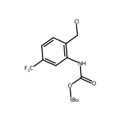 CC(C)(C)OC(=O)Nc1cc(C(F)(F)F)ccc1CCl